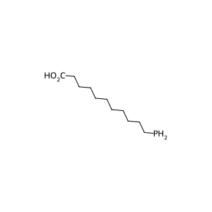 O=C(O)CCCCCCCCCCP